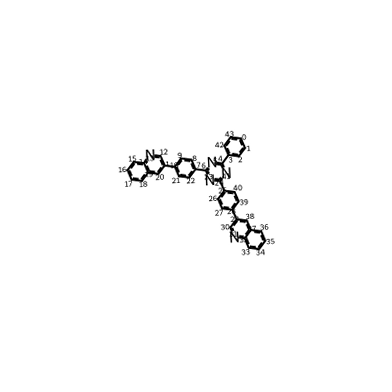 c1ccc(-c2nc(-c3ccc(-c4cnc5ccccc5c4)cc3)nc(-c3ccc(-c4cnc5ccccc5c4)cc3)n2)cc1